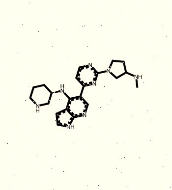 CNC1CCN(c2nccc(-c3cnc4[nH]ccc4c3N[C@@H]3CCCNC3)n2)C1